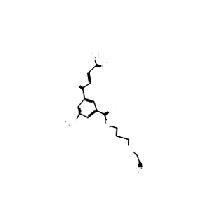 C#CCOCCCNC(=O)c1cc(C#N)cc(C(=O)/C=C/C(N)=O)c1